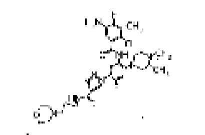 Cc1c(F)c(N)cc(C(=O)Nc2cc(-n3cc(C(=O)NCCCN4CCOCC4)nn3)c(F)cc2N2CCN(C)[C@H](C)C2)c1Cl